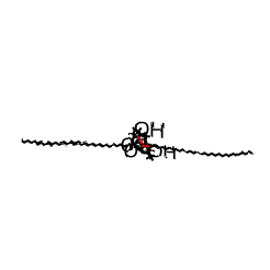 CCCCCCCCCCCCCCCCCCCCCCCCCCCCCCOC(=O)C(Cc1cc(C(C)(C)C)c(O)c(C)c1C)(Cc1cc(C(C)(C)C)c(O)c(C)c1C)C(=O)OCCCCCCCCCCCCCCCCCCCCCCCCCCCCCC